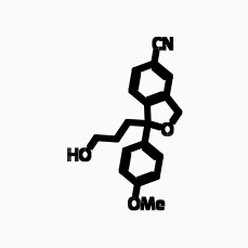 COc1ccc(C2(CCCO)OCc3cc(C#N)ccc32)cc1